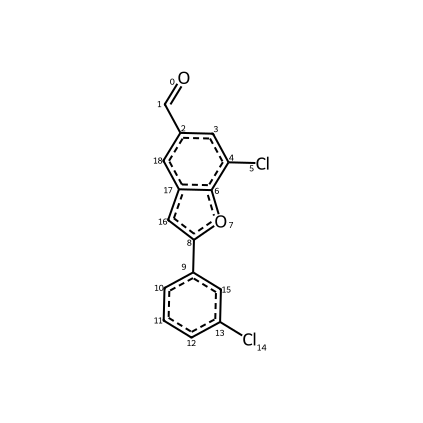 O=Cc1cc(Cl)c2oc(-c3cccc(Cl)c3)cc2c1